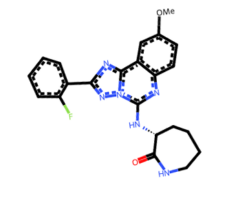 COc1ccc2nc(N[C@@H]3CCCCNC3=O)n3nc(-c4ccccc4F)nc3c2c1